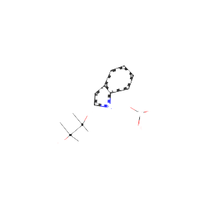 CC(C)(O)C(C)(C)O.OB(O)O.c1ccc2[nH]ccc2c1